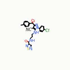 Cc1ccc(C(=O)c2nn(-c3ccc(Cl)cc3)c(NCCCNC(=O)c3cnsn3)c2C#N)cc1